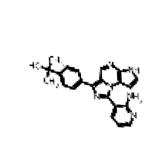 CC(C)(O)c1ccc(-c2nc(-c3cccnc3N)n3c2cnc2[nH]ccc23)cc1